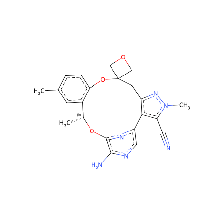 Cc1ccc2c(c1)[C@@H](C)Oc1nc(cnc1N)-c1c(nn(C)c1C#N)CC1(COC1)O2